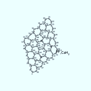 F.[CaH2].c1cc2cc3cc4cc5ccc6cc7cc8cc9cccc%10cc%11cc%12cc%13ccc%14cc%15cc%16cc(c1)c2c1c3c2c4c3c5c6c4c7c5c8c(c9%10)c%11c6c%12c7c%13c%14c8c%15c(c%161)c2c1c3c4c(c56)c7c81